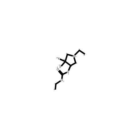 CCOC(=O)OC1CN(CC)CC1(F)F